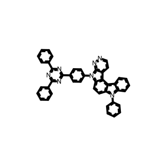 c1ccc(-c2nc(-c3ccccc3)nc(-c3ccc(-n4c5ccc6c(c7ccccc7n6-c6ccccc6)c5c5ccnnc54)cc3)n2)cc1